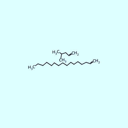 C=CCC(C)C.C=CCCCCCCCCCCCCCC